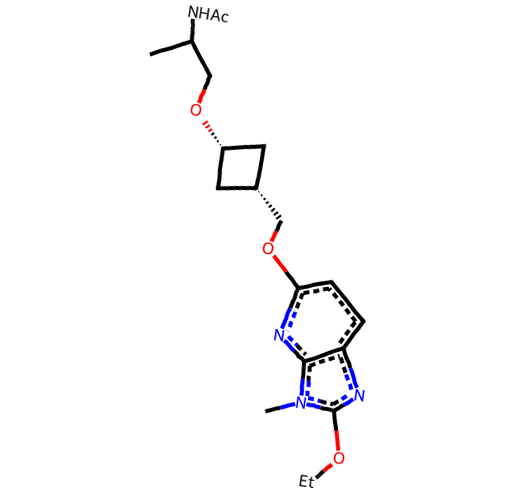 CCOc1nc2ccc(OC[C@H]3C[C@@H](OCC(C)NC(C)=O)C3)nc2n1C